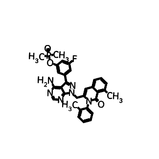 Cc1ccccc1-n1c(Cn2nc(-c3cc(F)cc(OP(C)(C)=O)c3)c3c(N)ncnc32)cc2cccc(C)c2c1=O